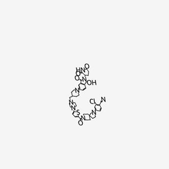 N#Cc1ccc(N2CCC3(CCN(C(=O)c4ccc(N5CCN(CC6CCN(c7ccc8c(c7)C(=O)N(C7CCC(=O)NC7=O)C8O)CC6)CC5)s4)CC3)C2)cc1Cl